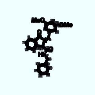 COc1cc(CN2C(=O)c3ccccc3C2C(=O)NCc2ccccc2)cc(OC)c1